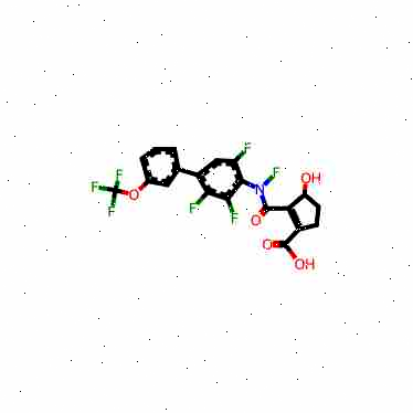 O=C(O)C1=C(C(=O)N(F)c2c(F)cc(-c3cccc(OC(F)(F)F)c3)c(F)c2F)C(O)CC1